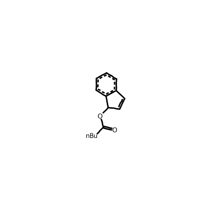 CCCCC(=O)OC1C=Cc2ccccc21